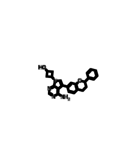 Nc1ncnc2c1c(-c1ccc3c(c1)OC(c1ccccc1)CC3)cn2C1CC(O)C1